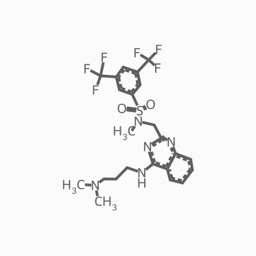 CN(C)CCCNc1nc(CN(C)S(=O)(=O)c2cc(C(F)(F)F)cc(C(F)(F)F)c2)nc2ccccc12